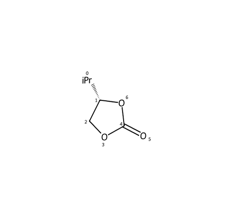 CC(C)[C@H]1COC(=O)O1